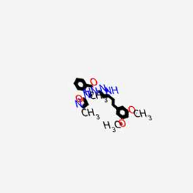 COc1cc(CCc2cc(NC(=O)c3ccccc3N(C)c3cc(C)no3)n[nH]2)cc(OC)c1